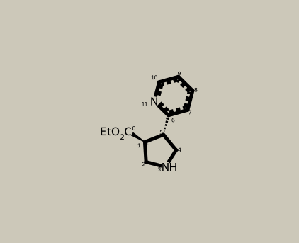 CCOC(=O)[C@@H]1CNC[C@H]1c1ccccn1